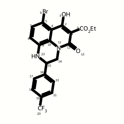 CCOC(=O)c1c(O)c2c(Br)ccc3c2n(c1=O)CC(c1ccc(C(F)(F)F)cc1)N3